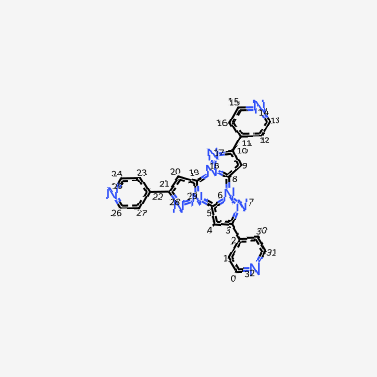 c1cc(-c2cc3n(n2)c2cc(-c4ccncc4)nn2c2cc(-c4ccncc4)nn32)ccn1